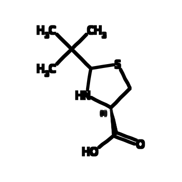 CC(C)(C)C1N[C@H](C(=O)O)CS1